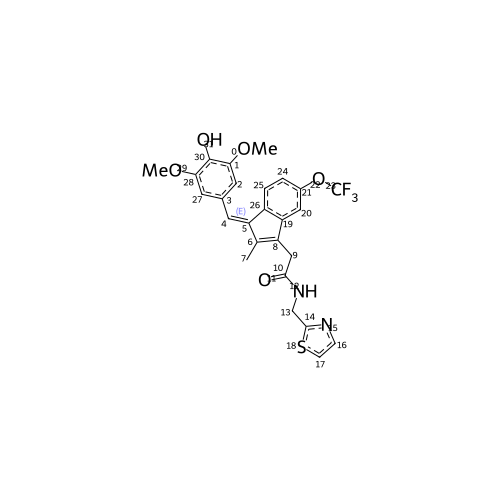 COc1cc(/C=C2/C(C)=C(CC(=O)NCc3nccs3)c3cc(OC(F)(F)F)ccc32)cc(OC)c1O